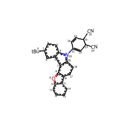 CC(C)(C)c1ccc2c(c1)c1c3oc4ccccc4c3ccc1n2C1=CC(C#N)C(C#N)C=C1